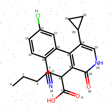 CCCCC(C(=O)O)c1c(-c2cc(Cl)ccc2C#N)c(C2CC2)c[nH]c1=O